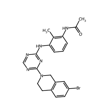 CC(=O)Nc1cccc(Nc2ncnc(N3CCc4ccc(Br)cc4C3)n2)c1C